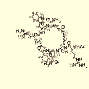 CC(=O)N[C@H](CCCNC(=N)N)C(=O)N[C@H]1CCCNC(=O)CCC(C(N)=O)NC(=O)[C@H](Cc2c[nH]c3ccccc23)NC(=O)[C@H](CCCNC(=N)N)NC(=O)[C@@H](Cc2ccccc2)NC(=O)[C@H](CCC(N)=O)NC1=O